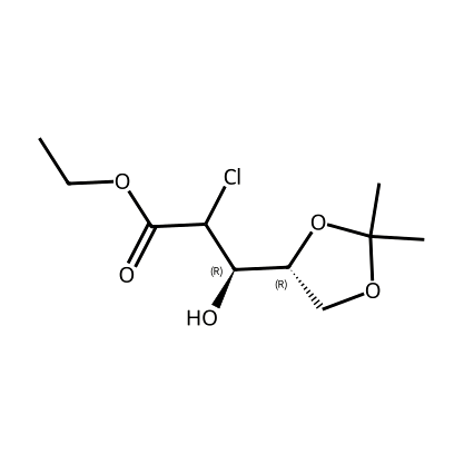 CCOC(=O)C(Cl)[C@H](O)[C@H]1COC(C)(C)O1